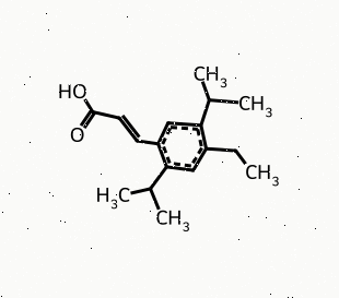 CCc1cc(C(C)C)c(C=CC(=O)O)cc1C(C)C